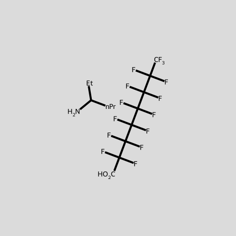 CCCC(N)CC.O=C(O)C(F)(F)C(F)(F)C(F)(F)C(F)(F)C(F)(F)C(F)(F)C(F)(F)F